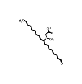 CCCCCCCCCC(CCCCCCCC=O)N(C)CC(=O)O